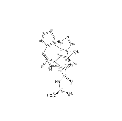 Cc1ccc2[nH]c3c(Br)c2c1C1(NN=NN1C1CC1OC(=O)N[C@@H](C)C(=O)O)c1ccccc1-3